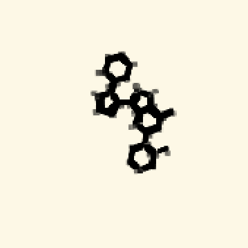 Cc1cc(N2CCOC[C@H]2C)nc2c(-c3ccnn3C3CCCCO3)nsc12